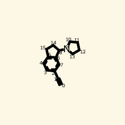 C#Cc1ccc2c(c1)C(N1CCCC1)CC2